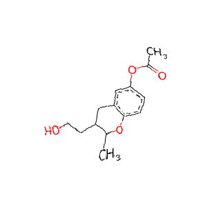 CC(=O)Oc1ccc2c(c1)CC(CCO)C(C)O2